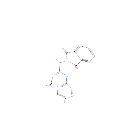 CSC(=N)/N=C(\Nc1ccc(Cl)cn1)C(C)N1C(=O)c2ccccc2C1=O